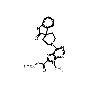 CCCCCCNC(=O)c1nc2c(N3CCC4(CC3)C(=O)Nc3ccccc34)ncnc2n1C